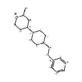 CC1CC(N2CCN(CCc3ccccc3)CC2)CCO1